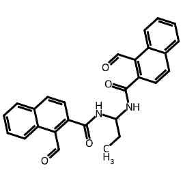 CC[C](NC(=O)c1ccc2ccccc2c1C=O)NC(=O)c1ccc2ccccc2c1C=O